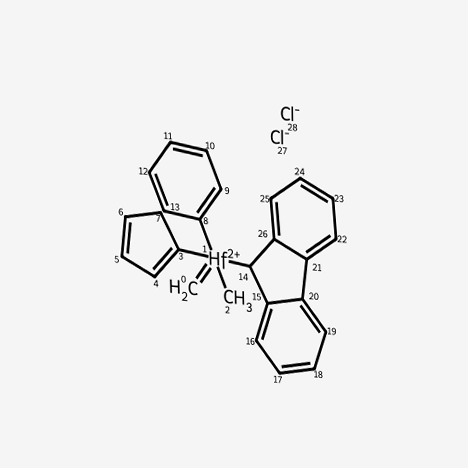 [CH2]=[Hf+2]([CH3])([C]1=CC=CC1)([c]1ccccc1)[CH]1c2ccccc2-c2ccccc21.[Cl-].[Cl-]